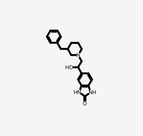 O=c1[nH]c2ccc(C(O)CN3CCCC(Cc4ccccc4)C3)cc2[nH]1